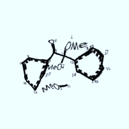 COC.COC(OC)(C(=O)c1ccccc1)c1ccccc1